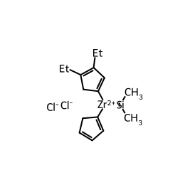 CCC1=C(CC)C[C]([Zr+2]([C]2=CC=CC2)=[Si](C)C)=C1.[Cl-].[Cl-]